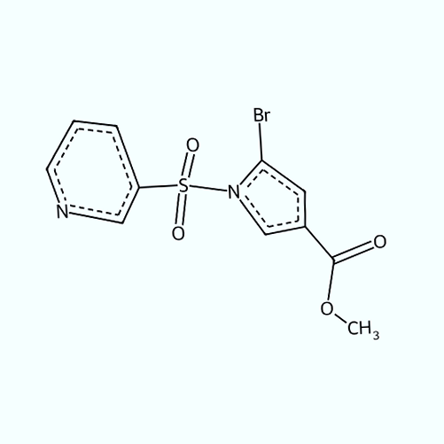 COC(=O)c1cc(Br)n(S(=O)(=O)c2cccnc2)c1